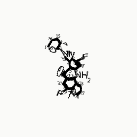 Nc1c(C(=O)c2ccc(F)c3nn(C4CCCCO4)cc23)cc(F)c2ncccc12